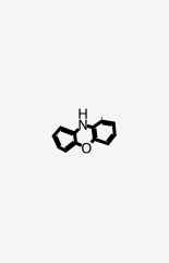 [c]1cccc2c1Nc1ccccc1O2